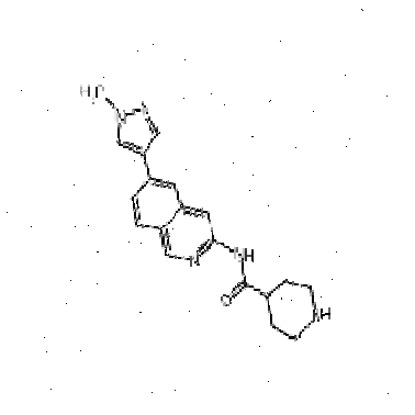 Cn1cc(-c2ccc3cnc(NC(=O)C4CCNCC4)cc3c2)cn1